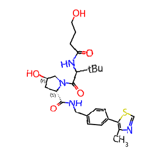 Cc1ncsc1-c1ccc(CNC(=O)[C@@H]2C[C@@H](O)CN2C(=O)C(NC(=O)CCCO)C(C)(C)C)cc1